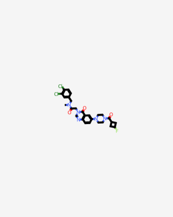 CN(Cc1ccc(Cl)c(Cl)c1)C(=O)Cn1cnc2ccc(N3CCN(C(=O)C4CC(F)C4)CC3)cc2c1=O